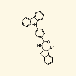 O=C(Nc1sc2ccccc2c1Br)c1ccc(-n2c3ccccc3c3ccccc32)cc1